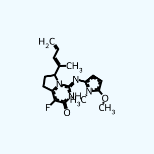 C=C/C=C(\C)C1CCc2c(F)c(=O)[nH]/c(=N\c3ccc(OC)n3C)n21